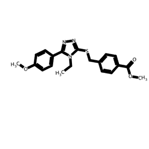 CCn1c(SCc2ccc(C(=O)OC)cc2)nnc1-c1ccc(OC)cc1